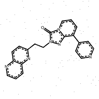 O=c1n(CCc2ccc3ncccc3n2)nc2c(-c3ccncc3)cccn12